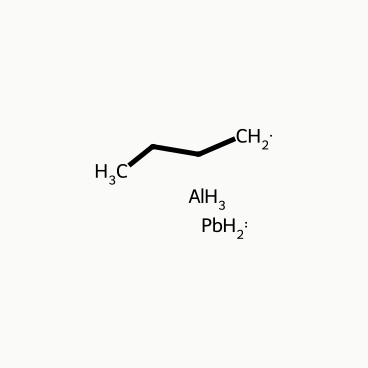 [AlH3].[CH2]CCC.[PbH2]